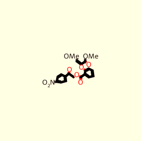 COC=C(Oc1ccccc1C(=O)OCC(=O)c1ccc([N+](=O)[O-])cc1)C(=O)OC